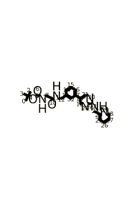 CC(C)(C)OC(=O)NCC(=O)NCc1cccc(-c2cnc(NCc3ccccn3)nc2)c1